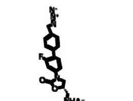 CC(=O)NC[C@H]1CN(c2ccc(-c3ccc(CN=[N+]=[N-])cc3)c(F)c2)C(=O)O1